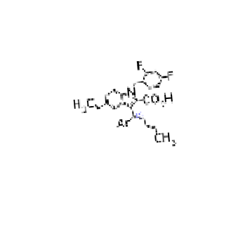 C=Cc1ccc2c(c1)c(/C(=C/C=CC)C(C)=O)c(C(=O)O)n2Cc1ccc(F)cc1F